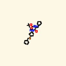 CC(C)(C)OC(=O)NC(Cc1ccccc1)C(=O)Nc1ccc(SCc2ccccc2)cc1